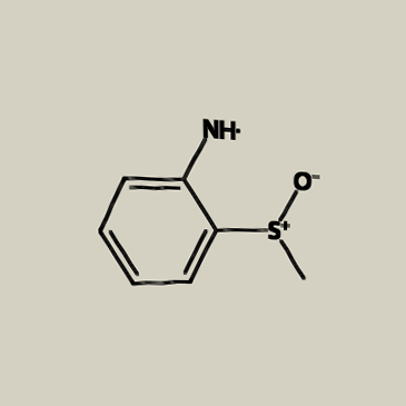 C[S+]([O-])c1ccccc1[NH]